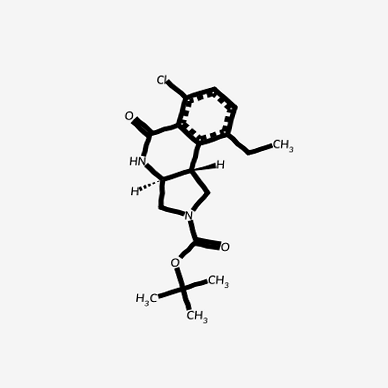 CCc1ccc(Cl)c2c1[C@@H]1CN(C(=O)OC(C)(C)C)C[C@H]1NC2=O